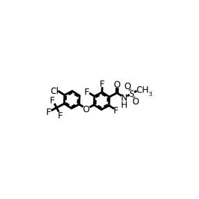 CS(=O)(=O)NC(=O)c1c(F)cc(Oc2ccc(Cl)c(C(F)(F)F)c2)c(F)c1F